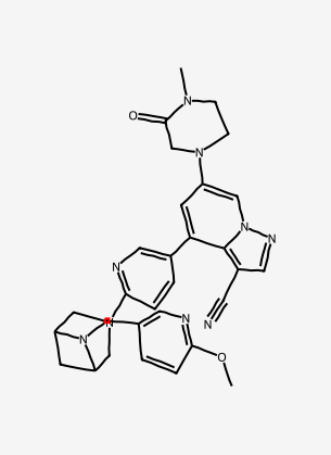 COc1ccc(CN2C3CC2CN(c2ccc(-c4cc(N5CCN(C)C(=O)C5)cn5ncc(C#N)c45)cn2)C3)cn1